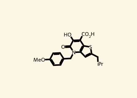 COc1ccc(Cn2c(=O)c(O)c(C(=O)O)c3sc(CC(C)C)cc32)cc1